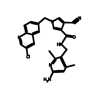 Cc1cc(N)nc(C)c1CNC(=O)c1cn(Cc2ccc3ncc(Cl)cc3c2)cc1C#N